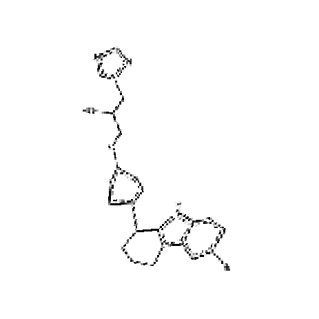 OC(COc1ccc(C2CCCc3c2[nH]c2ccc(Br)cc32)cc1)Cn1cncn1